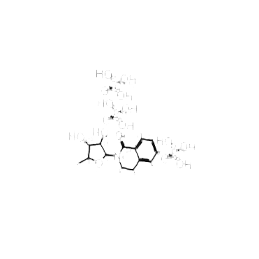 CC1OC(N2CCc3ccccc3C2=O)C(O)C1O.O=P(O)(O)O.O=P(O)(O)O.O=P(O)(O)O